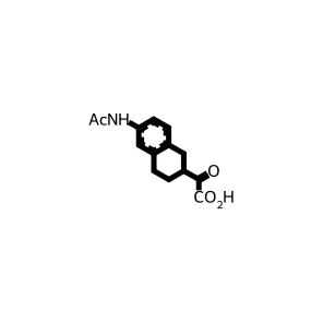 CC(=O)Nc1ccc2c(c1)CCC(C(=O)C(=O)O)C2